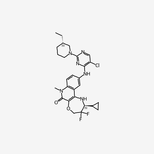 CC[C@H]1CCCN(c2ncc(Cl)c(Nc3ccc4c(c3)c3c(c(=O)n4C)OCC(F)(F)[C@H](C4CC4)N3)n2)C1